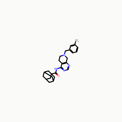 O=C(Nc1ncnc2c1CCN(Cc1cccc(C(F)(F)F)c1)C2)C12CC3CC(CC(C3)C1)C2